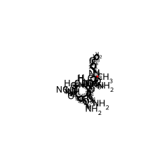 Cc1nc(-c2ccc(OC3CCCC3)cc2)nc(C)c1C(=O)N[C@@H](CCN)C(=O)N(C)[C@@H]1C(=O)N[C@@H](C)C(=O)N[C@H](C(=O)NCC#N)Cc2ccc(OCCN)c(c2)-c2cc1ccc2OCCN